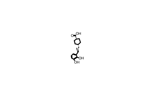 O=C(O)[C@H]1CC[C@H](CN=Cc2cccc(O)c2O)CC1